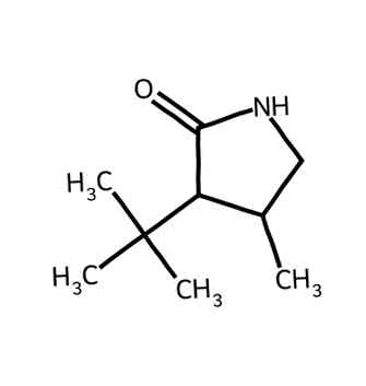 CC1CNC(=O)C1C(C)(C)C